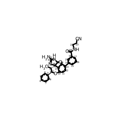 CC1[C@H](c2ccccc2)Oc2ccc(-c3cccc(C(=O)NCCC#N)c3)cc2[C@]12N=C(N)NC2=O